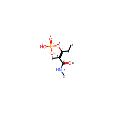 CCC(OP(=O)(O)O)=C(C)C(=O)NC